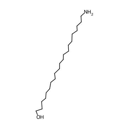 NCCCCCCCCCCCCCCCCCCCCCO